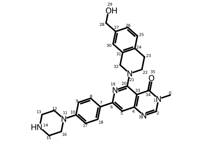 Cn1cnc2cc(-c3ccc(N4CCNCC4)cc3)nc(N3CCc4ccc(CO)cc4C3)c2c1=O